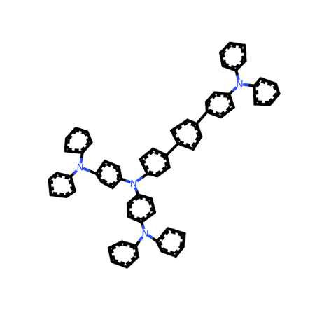 c1ccc(N(c2ccccc2)c2ccc(-c3ccc(-c4ccc(N(c5ccc(N(c6ccccc6)c6ccccc6)cc5)c5ccc(N(c6ccccc6)c6ccccc6)cc5)cc4)cc3)cc2)cc1